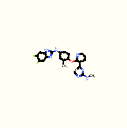 CNc1nccc(-c2cccnc2Oc2ccc(Nc3nc4cc(F)c(F)cc4[nH]3)cc2C)n1